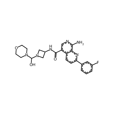 Nc1ncc(C(=O)NC2CN(C(O)N3CCOCC3)C2)c2ccc(-c3cccc(F)c3)nc12